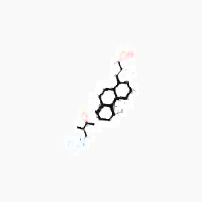 CC(CN)C(=O)C[C@@H]1C=C2CCC3C(CCCO)[C@H](C)CCC3[C@@]2(C)CC1